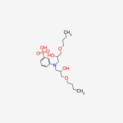 CCCCOCC(O)CN(CC(O)COCCCC)c1cccc(S(=O)(=O)O)c1